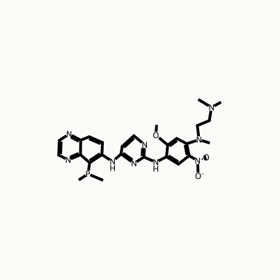 COc1cc(N(C)CCN(C)C)c([N+](=O)[O-])cc1Nc1nccc(Nc2ccc3nccnc3c2P(C)C)n1